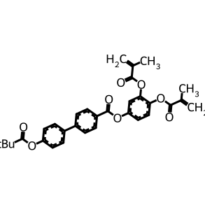 C=C(C)C(=O)Oc1ccc(OC(=O)c2ccc(-c3ccc(OC(=O)C(C)(C)C)cc3)cc2)cc1OC(=O)C(=C)C